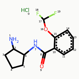 Cl.NC1CCCC1NC(=O)c1ccccc1OC(F)F